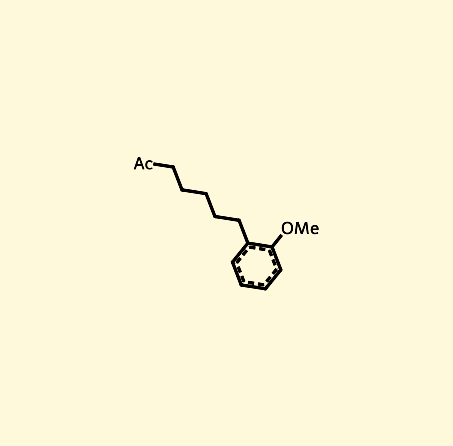 COc1ccccc1CCCCCC(C)=O